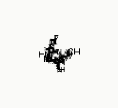 Cc1c(CN2CC(F)C2)cc(C#N)cc1Nc1nccc(-c2cc(C#N)c3c(c2)[C@@](C)(CCC(C)(C)[Si](C)(C)O)CN3)n1